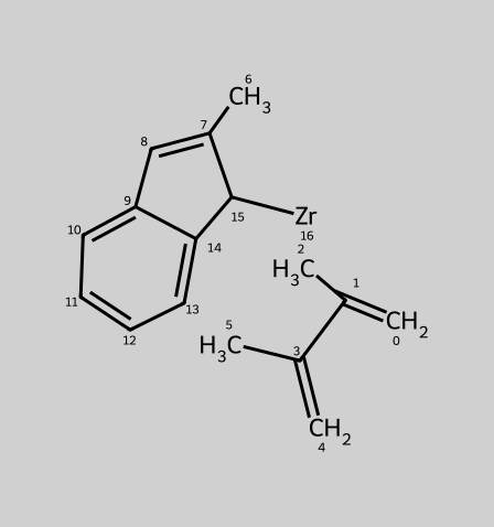 C=C(C)C(=C)C.CC1=Cc2ccccc2[CH]1[Zr]